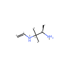 C=CNC(C)(C)[C@@H](C)N